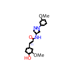 COc1cccc(-n2cc(NC(=O)/C=C/c3ccc(O)c(OC)c3)cn2)c1